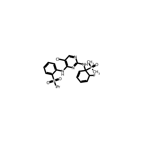 CC(C)S(=O)(=O)c1ccccc1Nc1nc(NC2(P(C)(C)=O)C=CC=CC2F)ncc1Cl